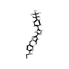 CCNc1ccc(Cn2nc(-c3nc(-c4ccc(C(C)(C)C(F)(F)F)cc4)no3)cc2C)cn1